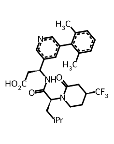 Cc1cccc(C)c1-c1cncc([C@H](CC(=O)O)NC(=O)[C@H](CC(C)C)N2CC[C@H](C(F)(F)F)CC2=O)c1